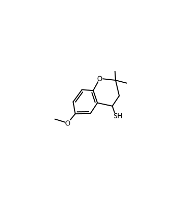 COc1ccc2c(c1)C(S)CC(C)(C)O2